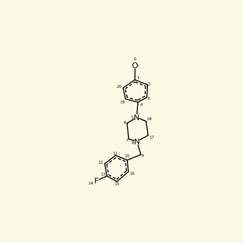 [O]c1ccc(N2CCN(Cc3ccc(F)cc3)CC2)cc1